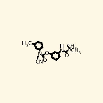 Cc1cccc(N(CC#N)C(=O)Oc2cccc(NC(=O)N(C)C)c2)c1